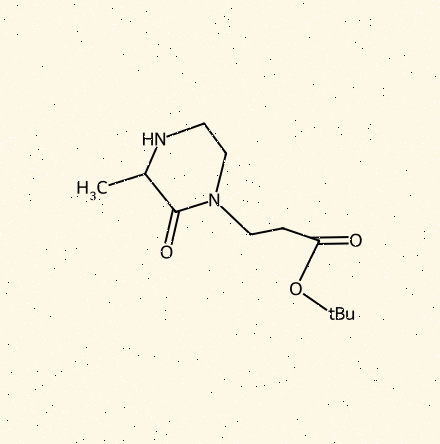 CC1NCCN(CCC(=O)OC(C)(C)C)C1=O